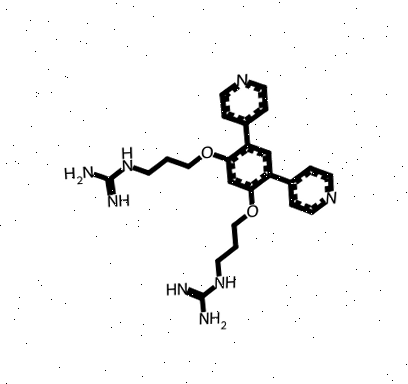 N=C(N)NCCCOc1cc(OCCCNC(=N)N)c(-c2ccncc2)cc1-c1ccncc1